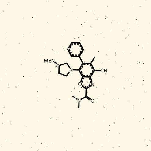 CN[C@@H]1CCN(c2c(-c3ccccc3)c(C)c(C#N)c3nc(C(=O)N(C)C)oc23)C1